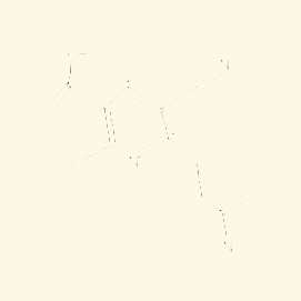 CC(=O)c1cc(C#N)c(SCC(N)=O)nc1C